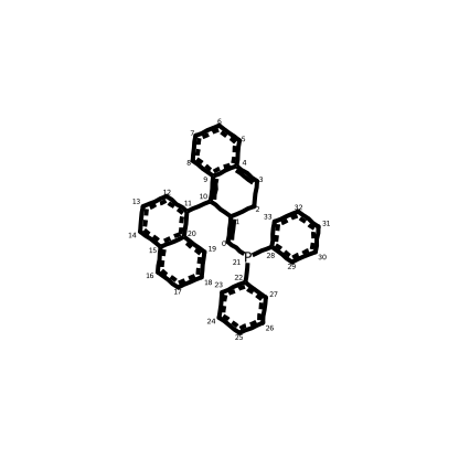 C(=C1CC=c2ccccc2=C1c1cccc2ccccc12)P(c1ccccc1)c1ccccc1